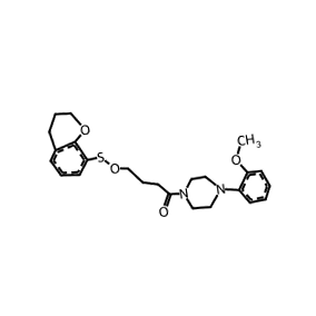 COc1ccccc1N1CCN(C(=O)CCCOSc2cccc3c2OCCC3)CC1